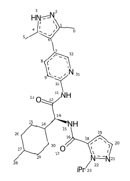 Cc1n[nH]c(C)c1-c1ccc(NC(=O)[C@@H](NC(=O)c2ccnn2C(C)C)C2CCC(C)CC2)nc1